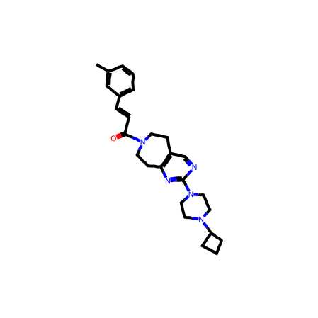 Cc1cccc(/C=C/C(=O)N2CCc3cnc(N4CCN(C5CCC5)CC4)nc3CC2)c1